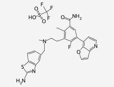 Cc1c(C(N)=O)cc(-c2ccnc3ccoc23)c(F)c1CCN(C)Cc1ccc2sc(N)nc2c1.O=S(=O)(O)C(F)(F)F